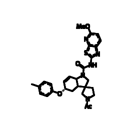 COc1ccc2nc(NC(=O)N3CC4(CCN(C(C)=O)C4)C4C[C@H](Oc5ccc(C)cc5)C=CC43)sc2n1